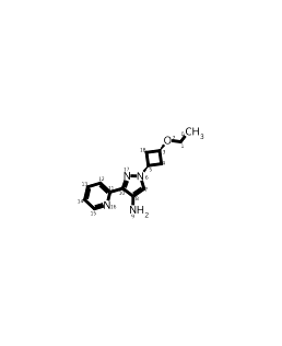 CCO[C@H]1C[C@@H](n2cc(N)c(-c3ccccn3)n2)C1